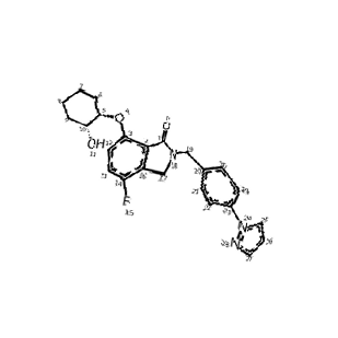 O=C1c2c(O[C@@H]3CCCC[C@H]3O)ccc(F)c2CN1Cc1ccc(-n2cccn2)cc1